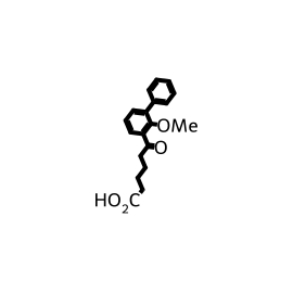 COc1c(C(=O)CCCCC(=O)O)cccc1-c1ccccc1